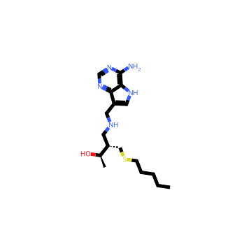 CCCCCSC[C@@H](CNCc1c[nH]c2c(N)ncnc12)[C@@H](C)O